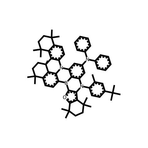 Cc1cc(C(C)(C)C)ccc1N1c2cc(N(c3ccccc3)c3ccccc3)cc3c2B(c2ccc4c5c2N3c2ccc3c(c2C5(C)CCC4(C)C)C(C)(C)CCC3(C)C)c2oc3c(c21)C(C)(C)CCC3(C)C